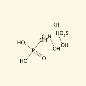 O=P(O)(O)O.O=S(=O)(O)O.O=[N+]([O-])O.[KH]